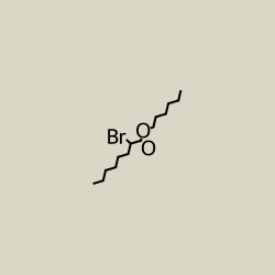 CCCCCCOC(=O)C(Br)CCCCCC